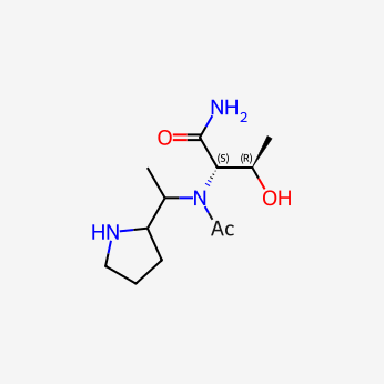 CC(=O)N(C(C)C1CCCN1)[C@H](C(N)=O)[C@@H](C)O